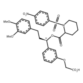 COc1ccc(CC[C@@H](OC(=O)C2CCCCN2S(=O)(=O)c2ccc([N+](=O)[O-])cc2)c2cccc(OCC(=O)O)c2)cc1OC